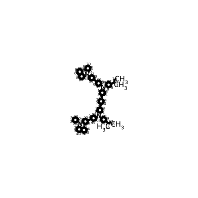 CCC(C)c1ccc(N(c2ccc(-c3ccc(-c4ccc(N(c5ccc(-c6ccc(N(c7ccccc7)c7cccc8ccccc78)cc6)cc5)c5ccc(C(C)CC)cc5)cc4)cc3)cc2)c2ccc(-c3ccc(N(c4ccccc4)c4cccc5ccccc45)cc3)cc2)cc1